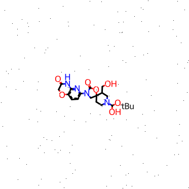 CC(C)(C)OC(O)N1CCC2(CN(c3ccc4c(n3)NC(=O)CO4)C(=O)O2)C(CO)C1